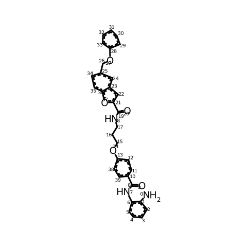 Nc1ccccc1NC(=O)c1ccc(OCCCNC(=O)c2cc3cc(COc4ccccc4)ccc3o2)cc1